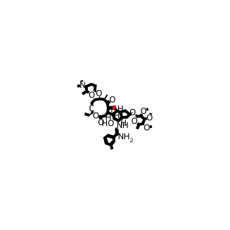 CC[C@H]1CCC[C@H](O[C@H]2CC[C@H](N(C)C)C(C)O2)[C@@H](C)C(=O)C2=C[C@H]3[C@@H]4C[C@H](O[C@@H]5OC(C)[C@H](OC)C(OC)C5OC)C[C@H]4C(N/C=C(\N)c4cccc(C)c4)C(O)[C@H]3[C@@H]2CC(=O)O1